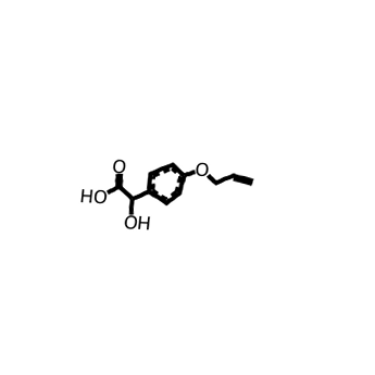 C=CCOc1ccc(C(O)C(=O)O)cc1